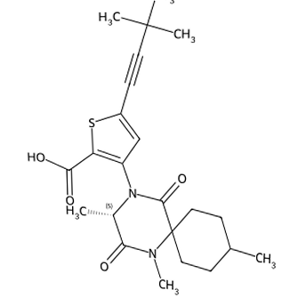 CC1CCC2(CC1)C(=O)N(c1cc(C#CC(C)(C)C)sc1C(=O)O)[C@@H](C)C(=O)N2C